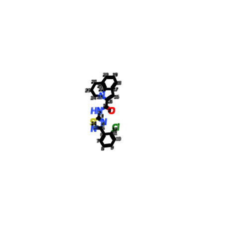 O=C(Nc1nc(-c2ccccc2Cl)ns1)c1cc2cccc3c2n1CCC3